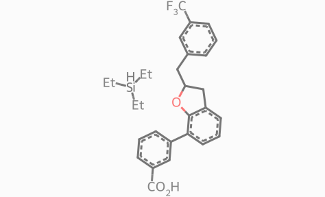 CC[SiH](CC)CC.O=C(O)c1cccc(-c2cccc3c2OC(Cc2cccc(C(F)(F)F)c2)C3)c1